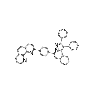 c1ccc(-c2nn3c(-c4ccc(-c5ccc6ccc7cccnc7c6n5)cc4)cc4ccccc4c3c2-c2ccccc2)cc1